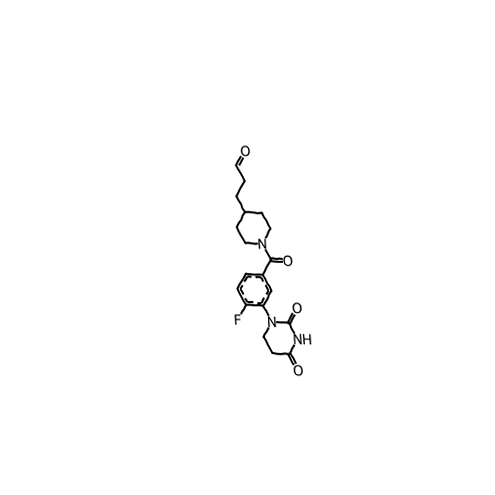 O=CCCC1CCN(C(=O)c2ccc(F)c(N3CCC(=O)NC3=O)c2)CC1